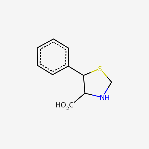 O=C(O)C1NCSC1c1ccccc1